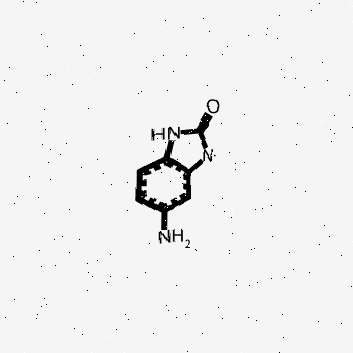 Nc1ccc2c(c1)[N]C(=O)N2